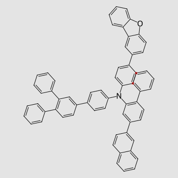 c1ccc(-c2ccc(-c3ccc(N(c4ccc(-c5ccc6oc7ccccc7c6c5)cc4)c4cc(-c5ccc6ccccc6c5)ccc4-c4ccccc4)cc3)cc2-c2ccccc2)cc1